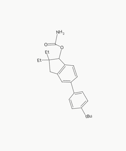 CCC1(CC)Cc2cc(-c3ccc(C(C)(C)C)cc3)ccc2C1OC(N)=O